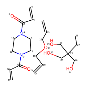 C=CC(=O)N1CCN(C(=O)C=C)CC1.C=CCOCC=C.CCC(CO)(CO)CO